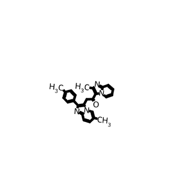 Cc1ccc(-c2nc3ccc(C)cn3c2CC(=O)c2c(C)nc3ccccn23)cc1